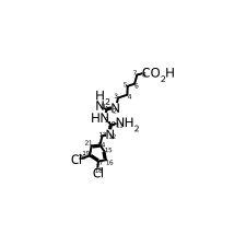 NC(=NCCCCCC(=O)O)NC(N)=NCc1ccc(Cl)c(Cl)c1